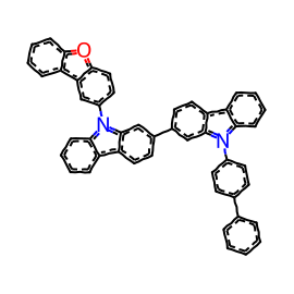 c1ccc(-c2ccc(-n3c4ccccc4c4ccc(-c5ccc6c7ccccc7n(-c7ccc8oc9ccccc9c8c7)c6c5)cc43)cc2)cc1